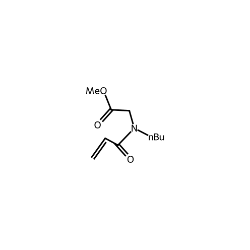 C=CC(=O)N(CCCC)CC(=O)OC